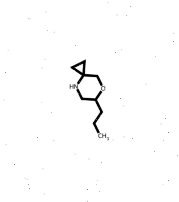 CCCC1CNC2(CC2)CO1